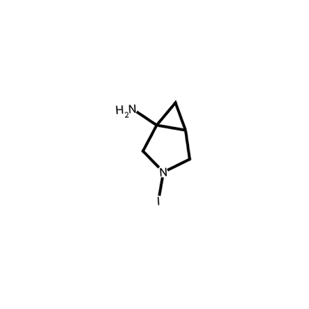 NC12CC1CN(I)C2